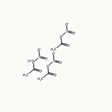 CC(=O)[O][Ti](=[O])[O-].CC(=O)[O][Ti](=[O])[O-].CC(=O)[O][Ti](=[O])[O-].[Cr+3]